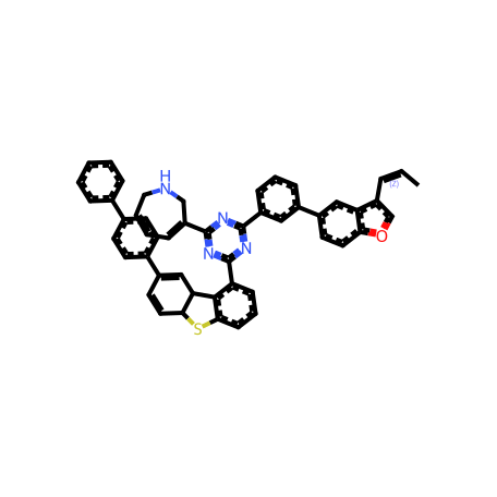 C/C=C\c1coc2ccc(-c3cccc(-c4nc(C5=CC=CCNC5)nc(-c5cccc6c5C5C=C(c7ccc(-c8ccccc8)cc7)C=CC5S6)n4)c3)cc12